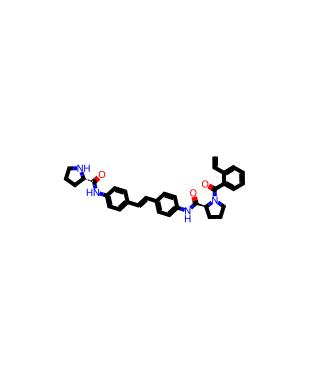 C=Cc1ccccc1C(=O)N1CCC[C@H]1C(=O)Nc1ccc(/C=C/c2ccc(NC(=O)[C@@H]3CCCN3)cc2)cc1